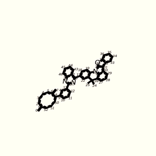 C=c1ccccc(=C)c(-c2cccc(-c3nc(-c4ccc5c(c4)C(C)(C)c4cccc6c7c8ccccc8oc7n-5c46)c4ccccc4n3)c2)ccc1